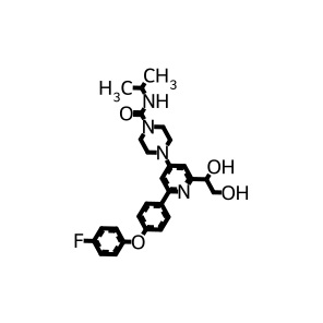 CC(C)NC(=O)N1CCN(c2cc(-c3ccc(Oc4ccc(F)cc4)cc3)nc(C(O)CO)c2)CC1